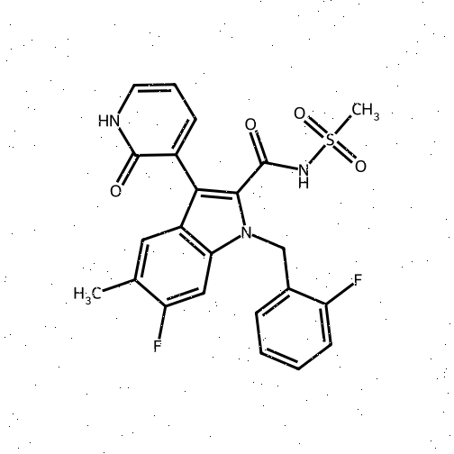 Cc1cc2c(-c3ccc[nH]c3=O)c(C(=O)NS(C)(=O)=O)n(Cc3ccccc3F)c2cc1F